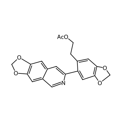 CC(=O)OCCc1cc2c(cc1-c1cc3cc4c(cc3cn1)OCO4)OCO2